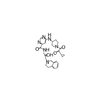 O=C(NC[C@H](O)CN1CCc2ccccc2C1)c1cc(NC2CCN(C(=O)C(=O)C3CC3)CC2)ncn1